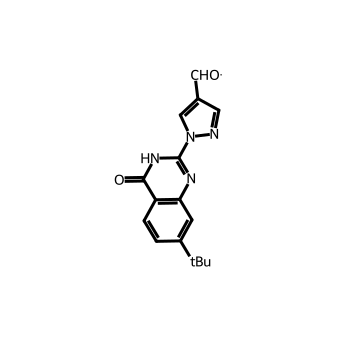 CC(C)(C)c1ccc2c(=O)[nH]c(-n3cc([C]=O)cn3)nc2c1